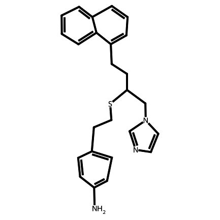 Nc1ccc(CCSC(CCc2cccc3ccccc23)Cn2ccnc2)cc1